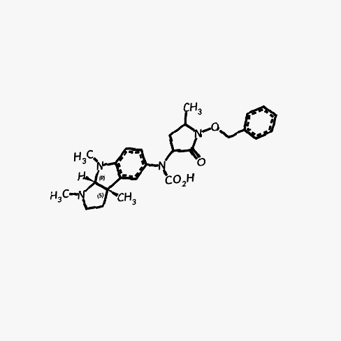 CC1CC(N(C(=O)O)c2ccc3c(c2)[C@]2(C)CCN(C)[C@@H]2N3C)C(=O)N1OCc1ccccc1